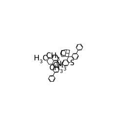 CC1(C)CCC(C)(C)c2c(N(c3ccc(-c4ccccc4)cc3)c3ccc4c(c3)C3(c5cc(-c6ccccc6)ccc5S4)C4CC5CC6CC3C64C5)cccc21